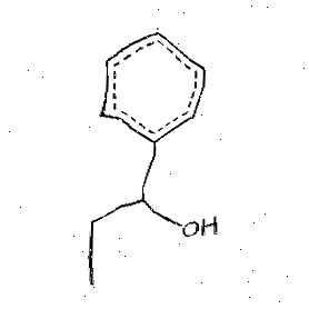 CCC(O)c1cc[c]cc1